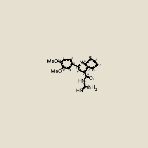 COc1ccc(-c2cc(C(=O)NC(=N)N)c3ccccc3n2)cc1OC